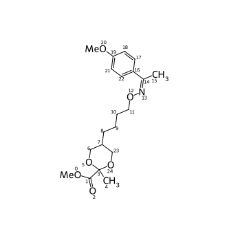 COC(=O)C1(C)OCC(CCCCON=C(C)c2ccc(OC)cc2)CO1